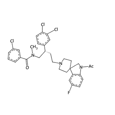 CC(=O)N1CC2(CCN(CC[C@H](CN(C)C(=O)c3cccc(Cl)c3)c3ccc(Cl)c(Cl)c3)CC2)c2cc(F)ccc21